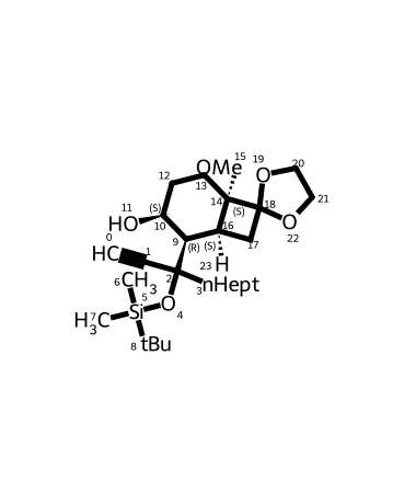 C#CC(CCCCCCC)(O[Si](C)(C)C(C)(C)C)[C@H]1[C@@H](O)CC[C@]2(OC)[C@H]1CC21OCCO1